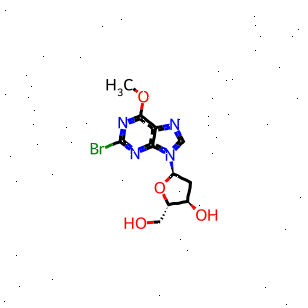 COc1nc(Br)nc2c1ncn2[C@H]1C[C@@H](O)[C@H](CO)O1